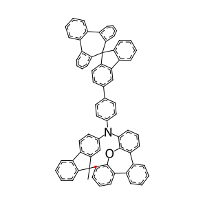 CC1(C)c2ccccc2-c2ccc(N(c3ccc(-c4ccc5c(c4)-c4ccccc4C54c5ccccc5-c5ccccc5-c5ccccc54)cc3)c3cccc4c3Oc3ccccc3-c3ccccc3-4)cc21